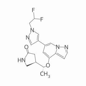 C[C@@H](Oc1cc(-c2cnn(CC(F)F)c2)cn2nccc12)[C@H]1CNC(=O)C1